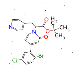 CC(C)(C)OC(=O)C(Cc1ccncc1)n1ccc(-c2cc(Cl)ccc2Br)cc1=O